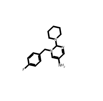 NC1=CN(Cc2ccc(F)cc2)C(N2CCCCC2)N=C1